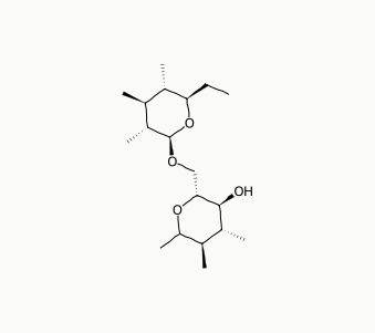 CC[C@H]1O[C@@H](OC[C@H]2OC(C)[C@H](C)[C@@H](C)[C@@H]2O)[C@H](C)[C@@H](C)[C@@H]1C